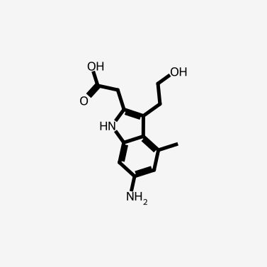 Cc1cc(N)cc2[nH]c(CC(=O)O)c(CCO)c12